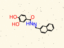 O=C(NN=Cc1ccc2ccccc2c1)c1ccc(O)c(O)c1